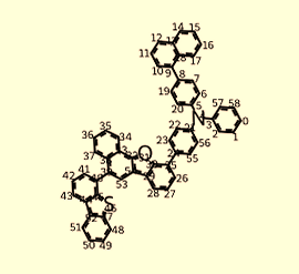 c1ccc(N(c2ccc(-c3cccc4ccccc34)cc2)c2ccc(-c3cccc4c3oc3c5ccccc5c(-c5cccc6c5sc5ccccc56)cc43)cc2)cc1